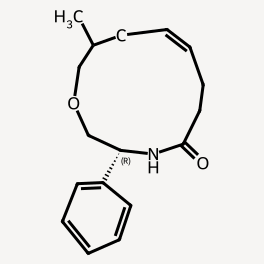 CC1CC=CCCC(=O)N[C@H](c2ccccc2)COC1